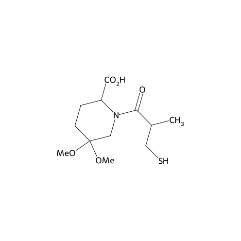 COC1(OC)CCC(C(=O)O)N(C(=O)C(C)CS)C1